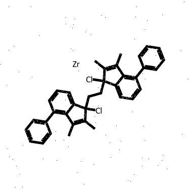 CC1=C(C)C(Cl)(CCC2(Cl)C(C)=C(C)c3c(-c4ccccc4)cccc32)c2cccc(-c3ccccc3)c21.[Zr]